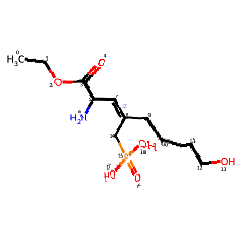 CCOC(=O)C(N)/C=C(/CCCCO)CP(=O)(O)O